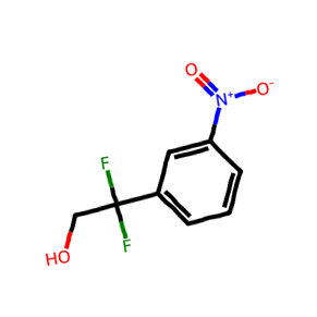 O=[N+]([O-])c1cccc(C(F)(F)CO)c1